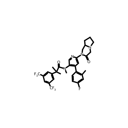 Cc1cc(F)ccc1-c1cc(N2CC3CCCN3CC2=O)ncc1N(C)C(=O)C(C)(C)c1cc(C(F)(F)F)cc(C(F)(F)F)c1